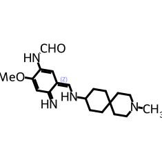 COC1=CC(=N)/C(=C\NC2CCC3(CC2)CCN(C)CC3)C=C1NC=O